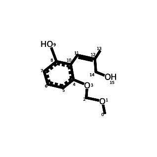 COCOc1cccc(O)c1/C=C(/C)CO